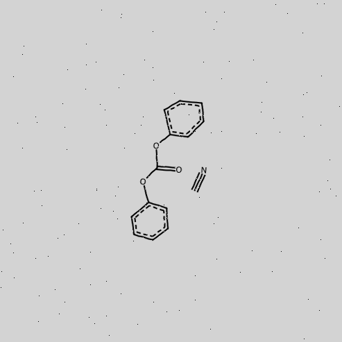 C#N.O=C(Oc1ccccc1)Oc1ccccc1